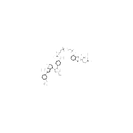 CCN1CC(c2ccnc3[nH]c(-c4cccc(CN(C)C)c4)cc23)C(c2ccc(NC(=O)N(C)CCC(C)(C)OCCC(C)(C)Oc3cccc4c3C(=O)N(C3CCC(=O)NC3=O)C4=O)cc2)=N1